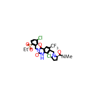 CCS(=O)(=O)c1ccc(Cl)cc1Cn1c(=O)[nH]c2c(Cl)c(CN3CCC[C@@H]3C(=O)NC)c(C(F)(F)F)cc2c1=O